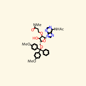 CNC(=O)CCOC1C(O)[C@@H](COC(c2ccccc2)(c2ccc(OC)cc2)c2ccc(OC)cc2)O[C@H]1n1cnc2c(NC(C)=O)ncnc21